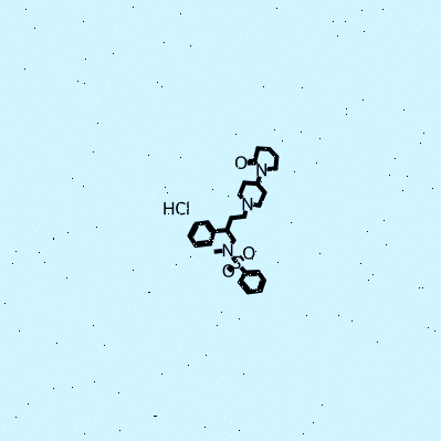 CN(CC(CCN1CCC(N2CCCCC2=O)CC1)c1ccccc1)S(=O)(=O)c1ccccc1.Cl